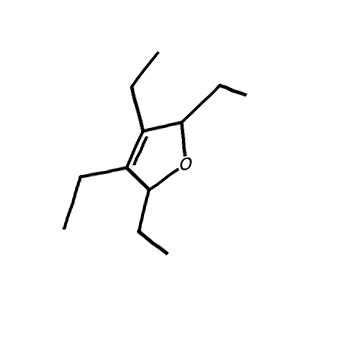 CCC1=C(CC)C(CC)OC1CC